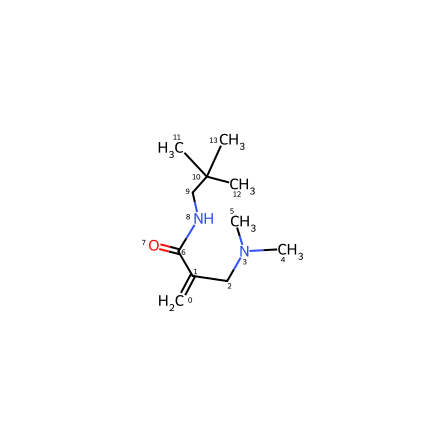 C=C(CN(C)C)C(=O)NCC(C)(C)C